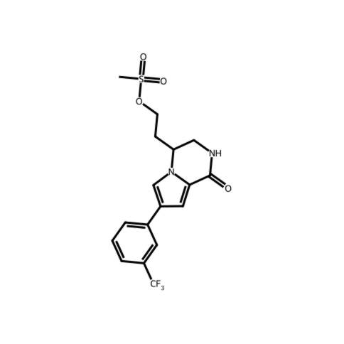 CS(=O)(=O)OCCC1CNC(=O)c2cc(-c3cccc(C(F)(F)F)c3)cn21